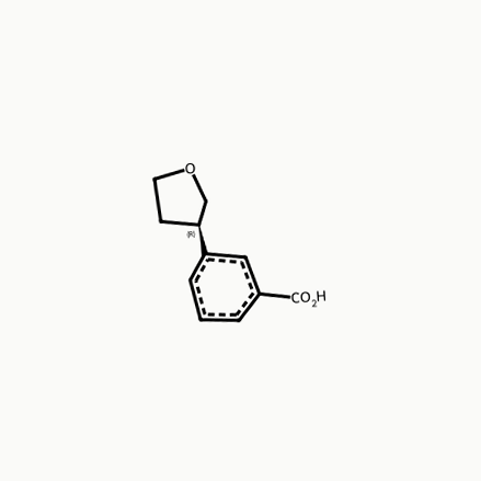 O=C(O)c1cccc([C@H]2CCOC2)c1